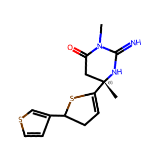 CN1C(=N)N[C@](C)(C2=CCC(c3ccsc3)S2)CC1=O